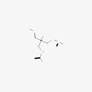 COCC(C)(CNC(C)=O)CO[P@](C)(=O)O